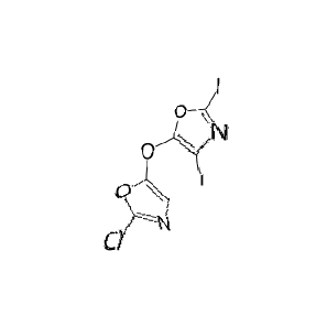 Clc1ncc(Oc2oc(I)nc2I)o1